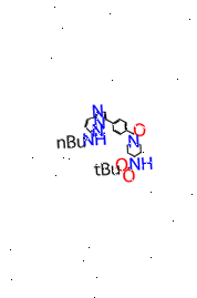 CCCCNc1ccc2ncc(-c3ccc(C(=O)N4CCC(NC(=O)OC(C)(C)C)CC4)cc3)n2n1